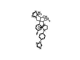 CC(C)C(Cn1cncn1)(c1ccc(F)cc1F)C(C)N1CCN(c2ccc(-n3cncn3)cc2)C1=O